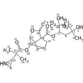 CC(C)(O)CC(OC(=O)C12CC3CC1C(OC2=O)C3OC(=O)C(C)(C)C1CN1)C(C)(C)O